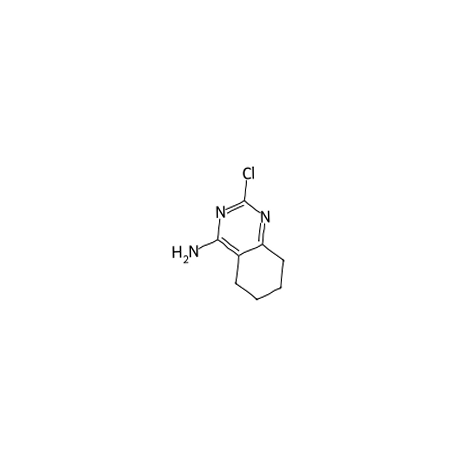 Nc1nc(Cl)nc2c1CCCC2